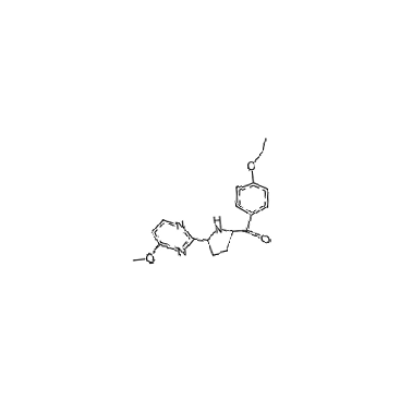 CCOc1ccc(C(=O)C2CCC(c3nccc(OC)n3)N2)cc1